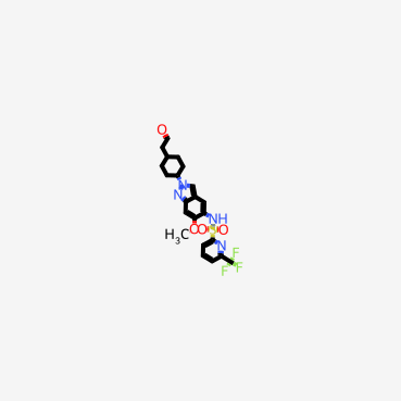 COc1cc2nn(C3CCC(CC=O)CC3)cc2cc1NS(=O)(=O)c1cccc(C(F)(F)F)n1